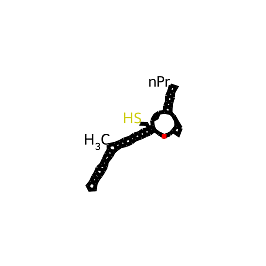 CCCC1CC2C1C1C2C2C3C4C5CC6C(CC65)C5CC(C5)C5C(C6CC(C6)C4C3C12)C1(CCS)C2C3C4C6C7C8C9C(C)C%10C(C9C8C7C6C4C3C2C51)C1C%10C2C3C4C5C6C7=C(CCC7)C6C5C4C3C12